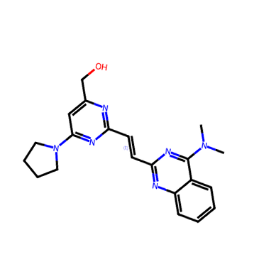 CN(C)c1nc(/C=C/c2nc(CO)cc(N3CCCC3)n2)nc2ccccc12